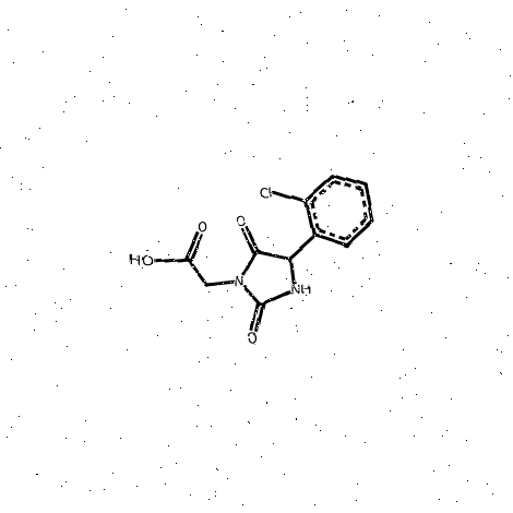 O=C(O)CN1C(=O)NC(c2ccccc2Cl)C1=O